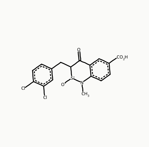 CN1c2ccc(C(=O)O)cc2C(=O)C(Cc2ccc(Cl)c(Cl)c2)[S+]1[O-]